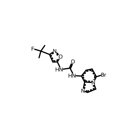 CC(C)(F)c1cc(NC(=O)Nc2ccc(Br)n3ccnc23)on1